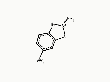 Nc1ccc2c(c1)S[SH](N)N2